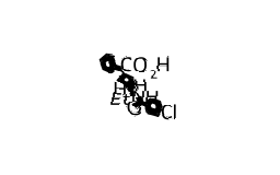 CCC(NC(=O)c1ccc(Cl)cc1)[C@H]1[C@@H]2C[C@@H](C(C(=O)O)c3ccccc3)C[C@@H]21